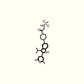 Cc1cc(-c2[nH]c3ccc(C4CCN(C(=O)CNS(C)(=O)=O)CC4)cc3c2C(C)C)cc(C)n1